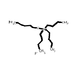 CCCCCC[N+](CCCC)(CCCC)CCCC.[F-]